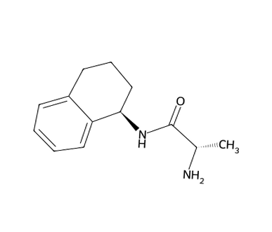 C[C@H](N)C(=O)N[C@@H]1CCCc2ccccc21